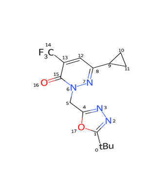 CC(C)(C)c1nnc(Cn2nc(C3CC3)cc(C(F)(F)F)c2=O)o1